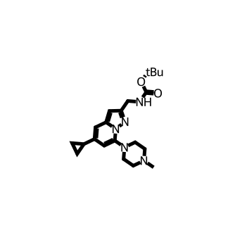 CN1CCN(c2cc(C3CC3)cc3cc(CNC(=O)OC(C)(C)C)nn23)CC1